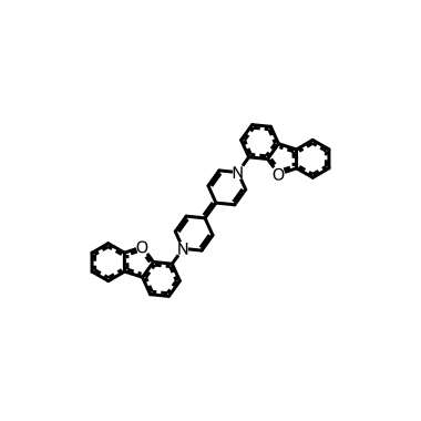 C1=CN(c2cccc3c2oc2ccccc23)C=CC1=C1C=CN(c2cccc3c2oc2ccccc23)C=C1